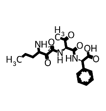 CCCC(N)C(=O)C(=O)N[C@@H](C(C)=O)C(=O)N[C@H](C(=O)O)c1ccccc1